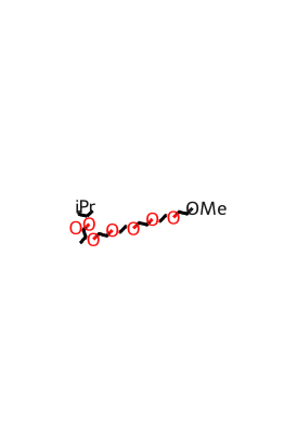 COCCOCCOCCOCCOCCOC(C)C(=O)OC(C)CC(C)C